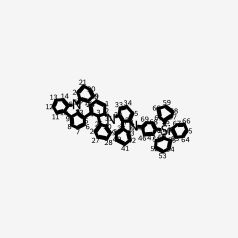 C1=CC2C(C(c3cccc4c5ccccc5n(-c5ccccc5)c34)=C1)c1ccccc1N2c1cccc2c1c1ccccc1n2-c1ccc([Si](c2ccccc2)(c2ccccc2)c2ccccc2)cc1